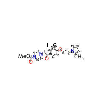 COC(=O)N1CCN(CC(=O)c2ccc(OCCCN3CCC[C@H]3C)c(C)c2)CC1